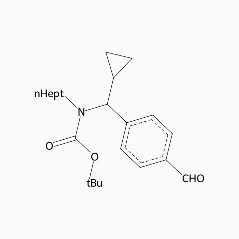 CCCCCCCN(C(=O)OC(C)(C)C)C(c1ccc(C=O)cc1)C1CC1